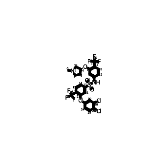 CN1CC[C@@H](Oc2cc(NS(=O)(=O)c3ccc(C(F)(F)F)c(Oc4ccc(Cl)c(Cl)c4)c3)ccc2C(F)(F)F)C1